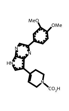 COc1ccc(-c2cnc3[nH]cc(C4=CCN(C(=O)O)CC4)c3n2)cc1OC